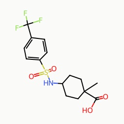 CC1(C(=O)O)CCC(NS(=O)(=O)c2ccc(C(F)(F)F)cc2)CC1